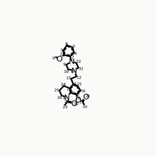 COc1ccccc1N1CCN(CCc2ccc(OC(C)=O)c3c2CCCN3C(C)=O)CC1